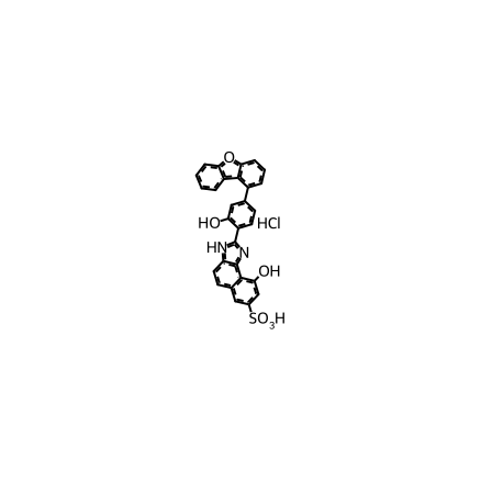 Cl.O=S(=O)(O)c1cc(O)c2c(ccc3[nH]c(-c4ccc(-c5cccc6oc7ccccc7c56)cc4O)nc32)c1